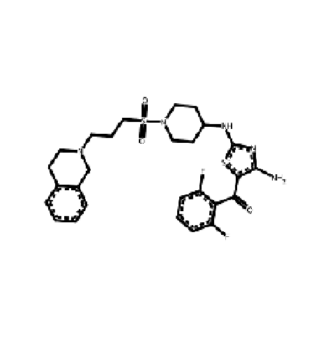 Nc1nc(NC2CCN(S(=O)(=O)CCCN3CCc4ccccc4C3)CC2)sc1C(=O)c1c(F)cccc1F